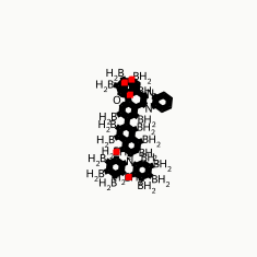 Bc1c(B)c(B)c(N(c2c(B)c(B)c(B)c(B)c2B)c2c(B)c(B)c3c(B)c(-c4c(B)c(-c5nc6ccccc6nc5-c5ccccc5)c5c(oc6c(B)c(B)c(B)c(B)c65)c4B)c(B)c(B)c3c2B)c(B)c1B